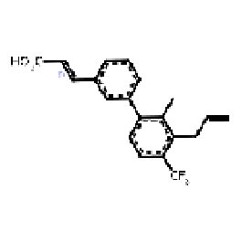 C=CCc1c(C(F)(F)F)ccc(-c2cccc(/C=C/C(=O)O)c2)c1C